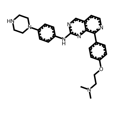 CN(C)CCOc1ccc(-c2nccc3cnc(Nc4ccc(N5CCNCC5)cc4)nc23)cc1